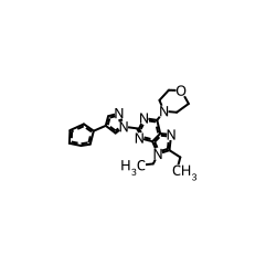 CCc1nc2c(N3CCOCC3)nc(-n3cc(-c4ccccc4)cn3)nc2n1CC